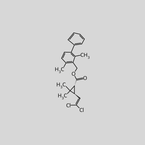 Cc1ccc(-c2ccccc2)c(C)c1COC(=O)[C@@H]1[C@@H](C=C(Cl)Cl)C1(C)C